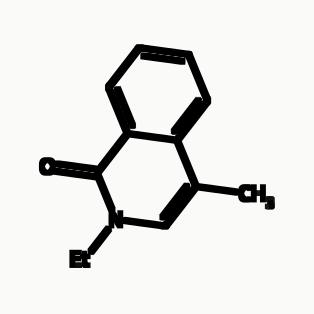 CCn1cc(C)c2ccccc2c1=O